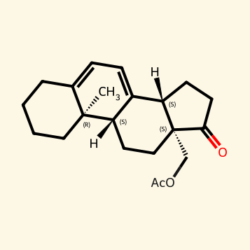 CC(=O)OC[C@]12CC[C@H]3C(=CC=C4CCCC[C@@]43C)[C@@H]1CCC2=O